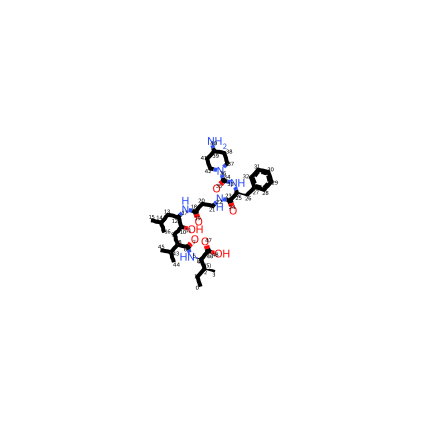 CC[C@H](C)[C@H](NC(=O)C(CC(O)C(CC(C)C)NC(=O)CCNC(=O)[C@H](Cc1ccccc1)NC(=O)N1CCC(N)CC1)C(C)C)C(=O)O